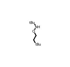 CC(C)(C)CCONC(C)(C)C